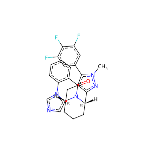 Cn1nc2c(c1-c1cc(F)c(F)c(F)c1)C[C@H]1CCC[C@@H]2N1C(=O)c1ccccc1-n1ccnc1